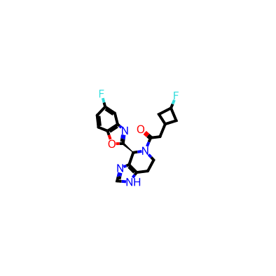 O=C(CC1CC(F)C1)N1CCc2[nH]cnc2[C@H]1c1nc2cc(F)ccc2o1